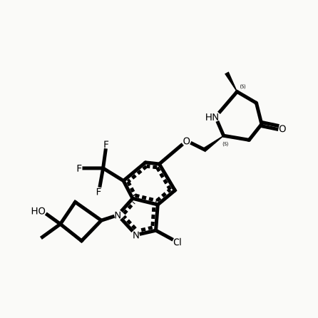 C[C@H]1CC(=O)C[C@@H](COc2cc(C(F)(F)F)c3c(c2)c(Cl)nn3C2CC(C)(O)C2)N1